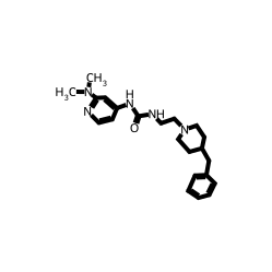 CN(C)c1cc(NC(=O)NCCN2CCC(Cc3ccccc3)CC2)ccn1